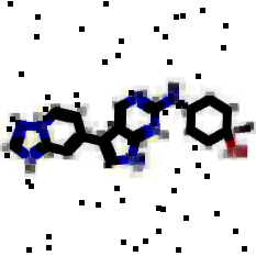 C[C@]1(O)CC[C@H](Nc2ncc3c(-c4ccn5ncnc5c4)c[nH]c3n2)CC1